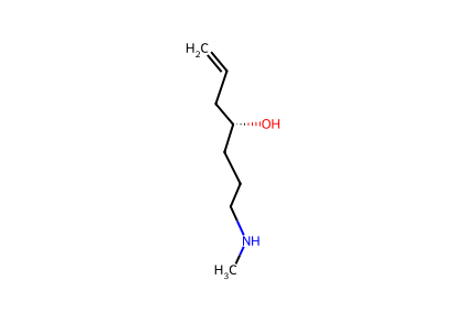 C=CC[C@H](O)CCCNC